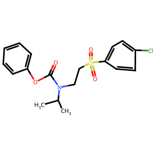 CC(C)N(CCS(=O)(=O)c1ccc(Cl)cc1)C(=O)Oc1ccccc1